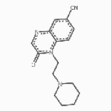 N#Cc1ccc2c(c1)ncc(=O)n2CCN1CC[CH]CC1